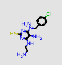 NCCNc1nc(S)nc(N(N)Cc2ccc(Cl)cc2)c1N